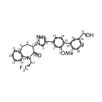 COc1cc(-c2cn(C3CCc4ccccc4N(CC(F)(F)F)C3=O)nn2)ccc1-c1ccnc(CO)c1